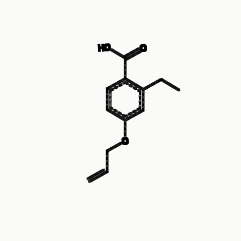 C=CCOc1ccc(C(=O)O)c(CC)c1